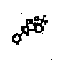 Cc1nc(-c2cccnc2)sc1-c1ccnc(C(F)(F)Cl)n1